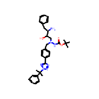 CC(C)(C)OC(=O)NN(Cc1ccc(-c2nnn(C(C)(C)c3ccccc3)n2)cc1)CC(O)C(N)Cc1ccccc1